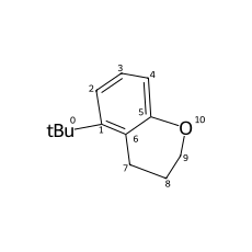 CC(C)(C)c1cccc2c1CCCO2